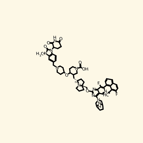 C#Cc1c(F)ccc2cccc(-c3ncc4c(N5CC6CCC(C5)N6)nc(OC[C@@]56CCCN5[C@H](CC5CN(C(=O)O)CCC5OC5CCN(Cc7ccc8c(c7)n(C)c(=O)n8C7CCC(=O)NC7=O)CC5)CC6)nc4c3F)c12